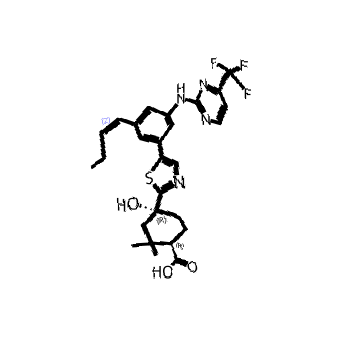 CC/C=C\c1cc(Nc2nccc(C(F)(F)F)n2)cc(-c2cnc([C@@]3(O)CC[C@@H](C(=O)O)C(C)(C)C3)s2)c1